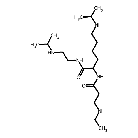 CCNCCC(=O)NC(CCCCNC(C)C)C(=O)NCCNC(C)C